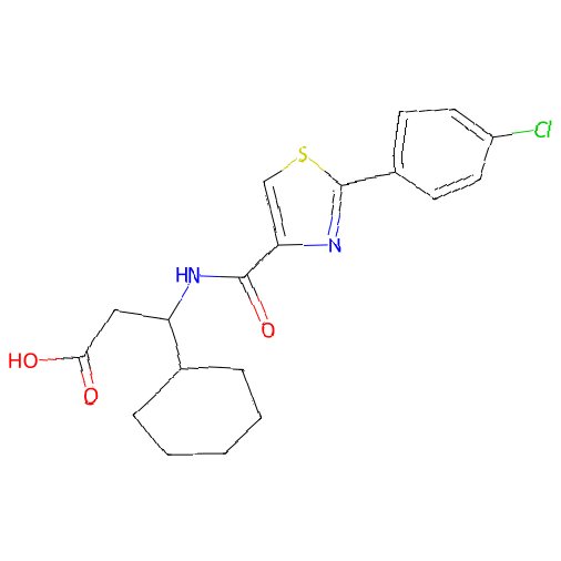 O=C(O)CC(NC(=O)c1csc(-c2ccc(Cl)cc2)n1)C1CCCCC1